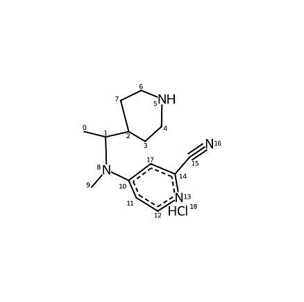 CC(C1CCNCC1)N(C)c1ccnc(C#N)c1.Cl